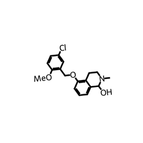 COc1ccc(Cl)cc1COc1cccc2c1CCN(C)C2O